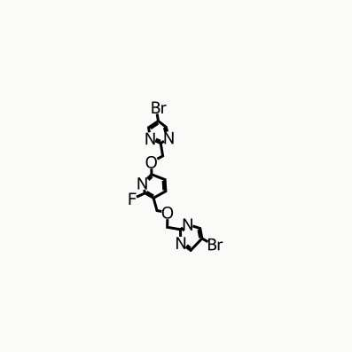 Fc1nc(OCc2ncc(Br)cn2)ccc1COCc1ncc(Br)cn1